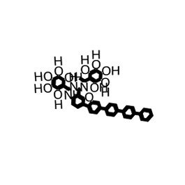 C/C(=N\C(NC(=N)C1=C(O)C(O)=C(O)C(O)C1O)c1cccc2c1oc1cc(-c3ccc(-c4ccc(-c5ccccc5)cc4)cc3)ccc12)C1=C(O)C(O)C(O)C(O)=C1O